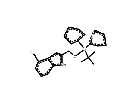 CC(C)(C)[Si](OCc1cc2c(Cl)cccc2[nH]1)(c1ccccc1)c1ccccc1